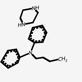 C1CNCCN1.CCCCN(c1ccccc1)c1ccccc1